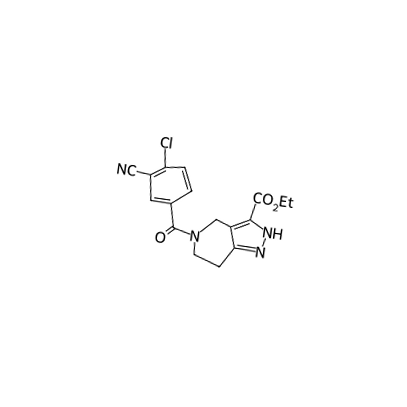 CCOC(=O)c1[nH]nc2c1CN(C(=O)c1ccc(Cl)c(C#N)c1)CC2